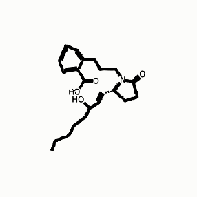 CCCCCC(O)C=C[C@H]1CCC(=O)N1CCCc1ccccc1C(=O)O